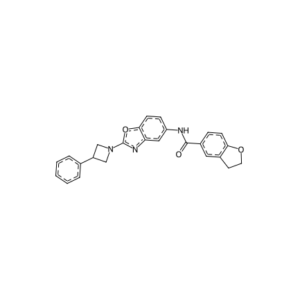 O=C(Nc1ccc2oc(N3CC(c4ccccc4)C3)nc2c1)c1ccc2c(c1)CCO2